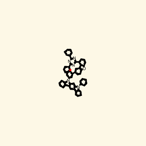 c1ccc(-c2nc(-c3ccccc3)nc(-c3cccc4oc5ccc(-c6cccc(-n7c8ccccc8c8cc9c%10ccccc%10n(-c%10ccccc%10)c9cc87)c6)cc5c34)n2)cc1